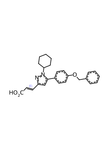 O=C(O)/C=C/c1cc(-c2ccc(OCc3ccccc3)cc2)n(C2CCCCC2)n1